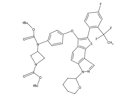 CC(C)(C)OC(=O)N1CC(N(C(=O)OC(C)(C)C)c2ccc(Oc3c(-c4ccc(F)cc4C(C)(F)F)sc4c3ccc3c4cnn3C3CCCCO3)cc2)C1